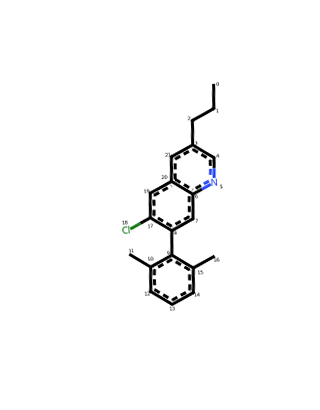 CCCc1cnc2cc(-c3c(C)cccc3C)c(Cl)cc2c1